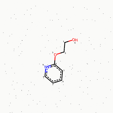 OCCOc1ccccn1